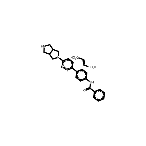 O=C(Nc1ccc(-c2ccc(N3CC4CNCC4C3)nn2)cc1)c1ccccc1.O=C(O)C=CC(=O)O